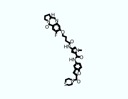 Cn1cc(NC(=O)CCCOc2cc3c(cc2F)C(=O)N2CCC[C@H]2C=N3)cc1C(=O)Nc1ccc2oc(C(=O)N3CCSCC3)cc2c1